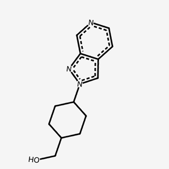 OCC1CCC(n2cc3ccncc3n2)CC1